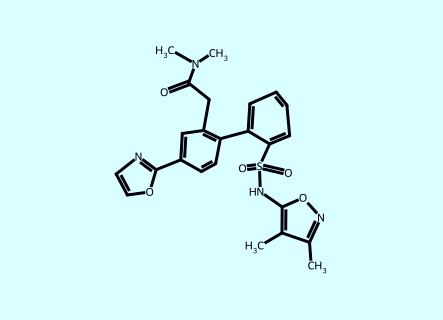 Cc1noc(NS(=O)(=O)c2ccccc2-c2ccc(-c3ncco3)cc2CC(=O)N(C)C)c1C